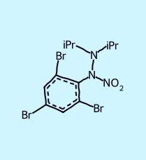 CC(C)N(C(C)C)N(c1c(Br)cc(Br)cc1Br)[N+](=O)[O-]